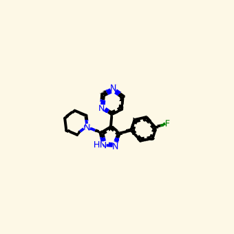 Fc1ccc(-c2n[nH]c(N3CCCCC3)c2-c2ccncn2)cc1